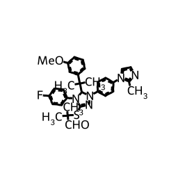 COc1cccc(C(C)(C)C2N(c3ccc(-n4ccnc4C)cc3)N=C(SC(C)(C)C=O)N2c2ccc(F)cc2)c1